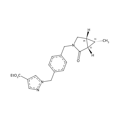 CCOC(=O)c1cnn(Cc2ccc(CN3C[C@@H]4[C@H](C)[C@@H]4C3=O)cc2)c1